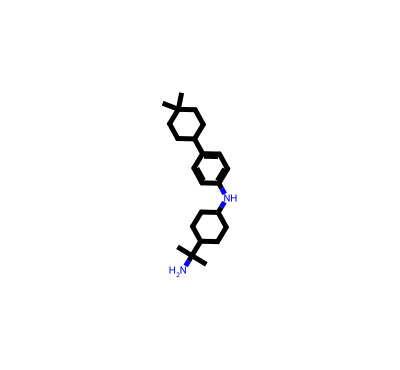 CC1(C)CCC(c2ccc(NC3CCC(C(C)(C)N)CC3)cc2)CC1